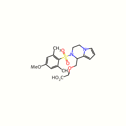 COc1cc(C)c(S(=O)(=O)N2CCn3cccc3C2COCC(=O)O)c(C)c1